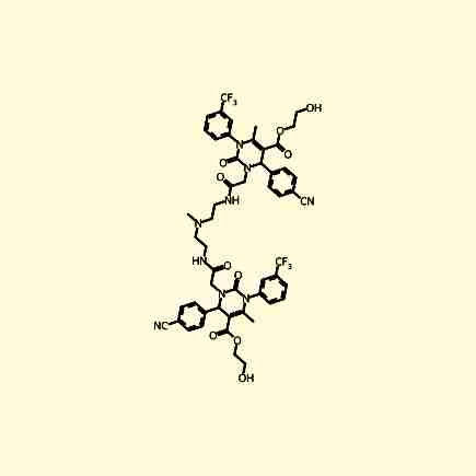 CC1=C(C(=O)OCCO)C(c2ccc(C#N)cc2)N(CC(=O)NCCN(C)CCNC(=O)CN2C(=O)N(c3cccc(C(F)(F)F)c3)C(C)=C(C(=O)OCCO)C2c2ccc(C#N)cc2)C(=O)N1c1cccc(C(F)(F)F)c1